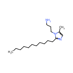 CCCCCCCCCCCc1ncc(C)n1CCCN